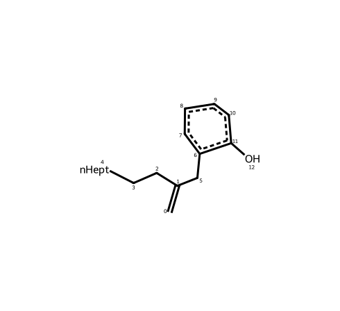 C=C(CCCCCCCCC)Cc1ccccc1O